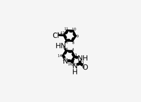 O=c1[nH]c2cc(Nc3ccccc3Cl)cnc2[nH]1